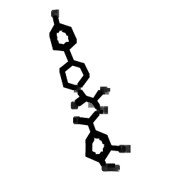 COc1ccc(C(=O)N[C@@H](C(=O)N2CCC(c3ccc(Cl)cc3)CC2)C(C)C)cc1O